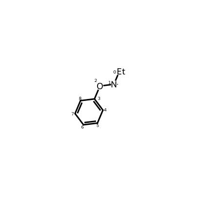 CC[N]Oc1ccccc1